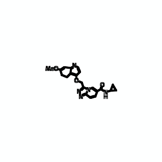 COC1=Cc2nccc(OCc3nnc4ccc(C(=O)NC5CC5)cn34)c2CC1